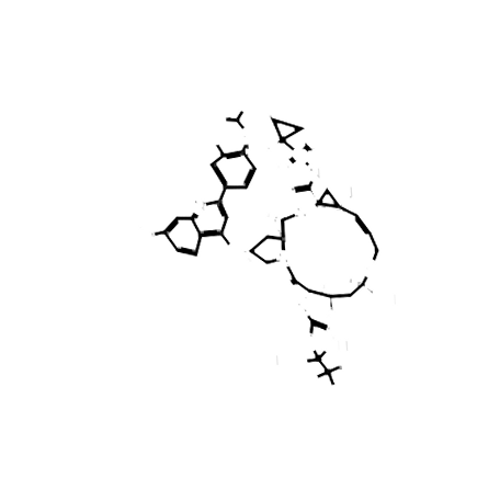 COc1ccc2c(O[C@@H]3C[C@H]4C(=O)N[C@]5(C(=O)NS(=O)(=O)C6(C)CC6)C[C@H]5/C=C\CC[C@@H](C)C[C@@H](C)[C@H](NC(=O)OC(C)(C)C(F)(F)F)C(=O)N4C3)cc(-c3ccc(OC(C)C)c(F)c3)nc2c1